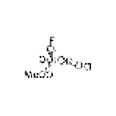 COC(=O)CC[C@H]1C(=O)N(c2ccc(F)cc2)[C@@H]1c1ccc(OCc2ccc(Cl)cc2)cc1